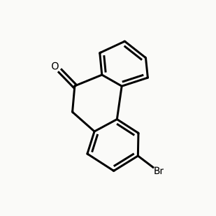 O=C1Cc2ccc(Br)cc2-c2ccccc21